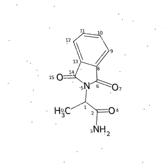 CC(C(N)=O)N1C(=O)c2ccccc2C1=O